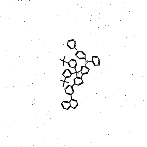 CC(C)(C)c1cccc(C2(c3cccc(C(C)(C)C)c3)c3cc(-c4cccc(-c5cccc6ccccc56)c4)ccc3-c3ccc(N(c4ccccc4)c4ccc(-c5ccccc5)cc4)cc32)c1